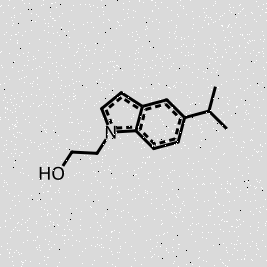 CC(C)c1ccc2c(ccn2CCO)c1